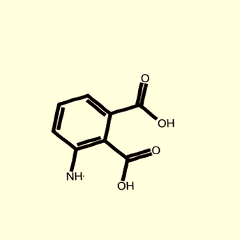 [NH]c1cccc(C(=O)O)c1C(=O)O